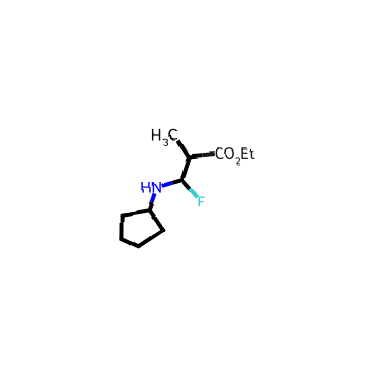 CCOC(=O)C(C)C(F)NC1CCCC1